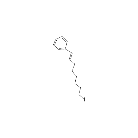 ICCCCCCC=Cc1ccccc1